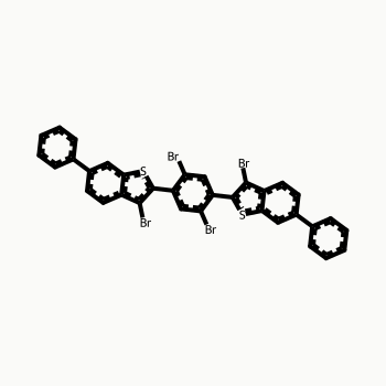 Brc1cc(-c2sc3cc(-c4ccccc4)ccc3c2Br)c(Br)cc1-c1sc2cc(-c3ccccc3)ccc2c1Br